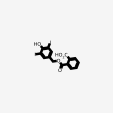 O=C(O)c1ccccc1C(=O)OCc1cc(I)c(O)c(I)c1